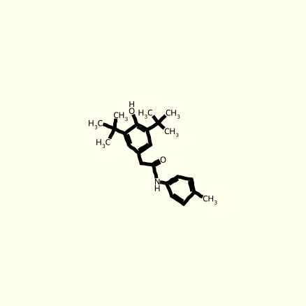 Cc1ccc(NC(=O)Cc2cc(C(C)(C)C)c(O)c(C(C)(C)C)c2)cc1